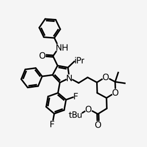 CC(C)c1c(C(=O)Nc2ccccc2)c(-c2ccccc2)c(-c2ccc(F)cc2F)n1CCC1CC(CC(=O)OC(C)(C)C)OC(C)(C)O1